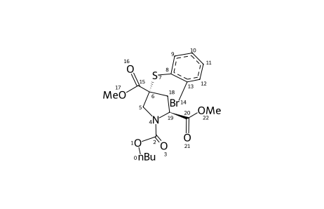 CCCCOC(=O)N1C[C@@](Sc2ccccc2Br)(C(=O)OC)C[C@H]1C(=O)OC